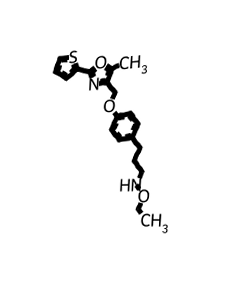 CCONCCCc1ccc(OCc2nc(-c3cccs3)oc2C)cc1